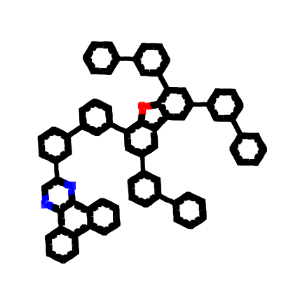 c1ccc(-c2cccc(-c3cc(-c4cccc(-c5ccccc5)c4)c4oc5c(-c6cccc(-c7cccc(-c8cnc9c%10ccccc%10c%10ccccc%10c9n8)c7)c6)cc(-c6cccc(-c7ccccc7)c6)cc5c4c3)c2)cc1